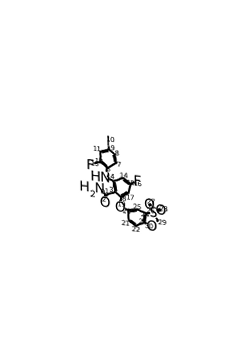 NC(=O)c1c(Nc2ccc(I)cc2F)cc(F)cc1Oc1ccc2c(c1)S(=O)(=O)CO2